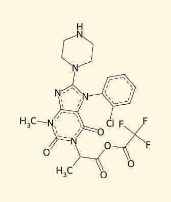 CC(C(=O)OC(=O)C(F)(F)F)n1c(=O)c2c(nc(N3CCNCC3)n2-c2ccccc2Cl)n(C)c1=O